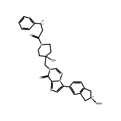 CN[C@@H]1Cc2ccc(-c3cnc4c(=O)n(CC5(O)CCN(C(=O)C[C@@H](C)c6ccccc6)CC5)cnn34)cc2C1